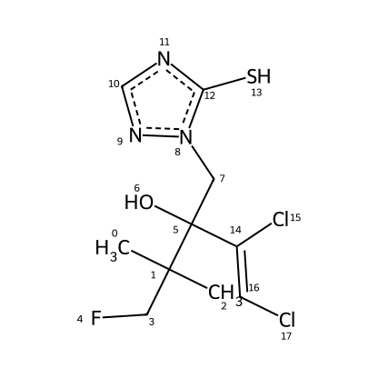 CC(C)(CF)C(O)(Cn1ncnc1S)C(Cl)=CCl